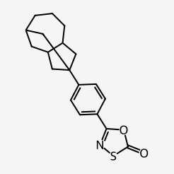 O=c1oc(-c2ccc(C34CC5CCCC(C3)C(C5)C4)cc2)ns1